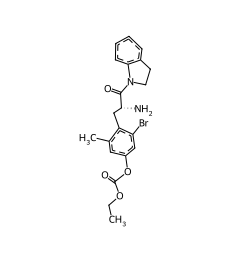 CCOC(=O)Oc1cc(C)c(C[C@@H](N)C(=O)N2CCc3ccccc32)c(Br)c1